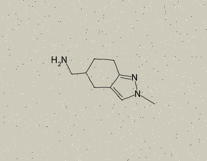 Cn1cc2c(n1)CCC(CN)C2